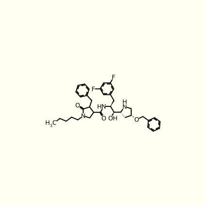 CCCCCN1CC(C(=O)N[C@@H](Cc2cc(F)cc(F)c2)[C@H](O)[C@H]2C[C@@H](OCc3ccccc3)CN2)C(Cc2ccccc2)C1=O